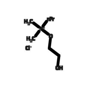 CCC[N+](C)(C)OCCO.[Cl-]